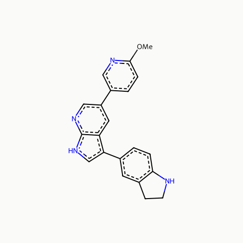 COc1ccc(-c2cnc3[nH]cc(-c4ccc5c(c4)CCN5)c3c2)cn1